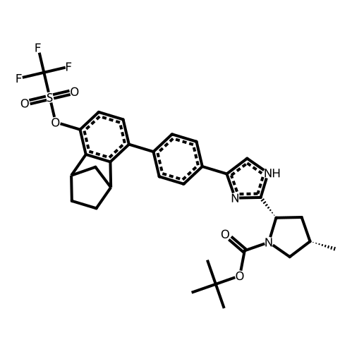 C[C@H]1C[C@@H](c2nc(-c3ccc(-c4ccc(OS(=O)(=O)C(F)(F)F)c5c4C4CCC5C4)cc3)c[nH]2)N(C(=O)OC(C)(C)C)C1